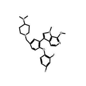 COc1nccc2c(-c3cc(CN4CCC(N(C)C)CC4)ccc3Oc3ccc(F)cc3F)cn(C)c12